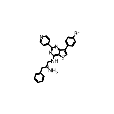 N[C@H](CNc1nc(-c2ccncc2)nc2c(-c3ccc(Br)cc3)csc12)Cc1ccccc1